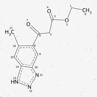 CCOC(=O)CC(=O)c1cc2nn[nH]c2cc1C